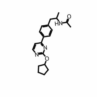 CC(=O)NC(C)Cc1ccc(-c2ccnc(OC3CCCC3)n2)cc1